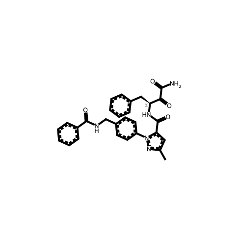 Cc1cc(C(=O)N[C@@H](Cc2ccccc2)C(=O)C(N)=O)n(-c2ccc(CNC(=O)c3ccccc3)cc2)n1